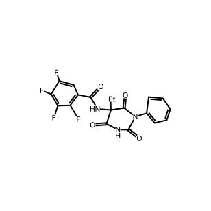 CCC1(NC(=O)c2cc(F)c(F)c(F)c2F)C(=O)NC(=O)N(c2ccccc2)C1=O